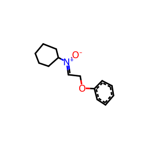 [O-][N+](=CCOc1ccccc1)C1CCCCC1